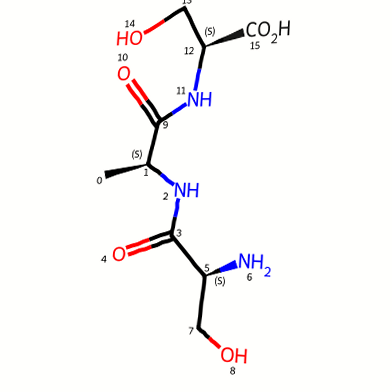 C[C@H](NC(=O)[C@@H](N)CO)C(=O)N[C@@H](CO)C(=O)O